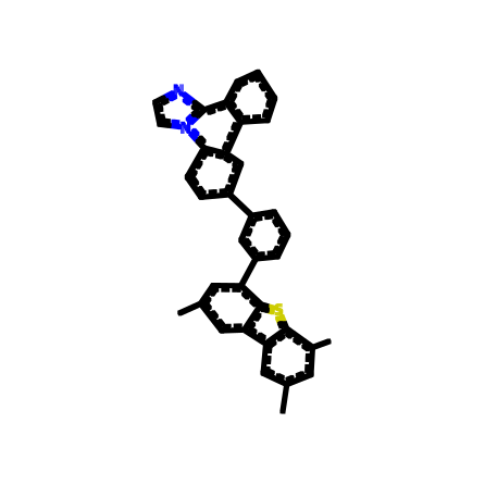 Cc1cc(C)c2sc3c(-c4cccc(-c5ccc6c(c5)c5ccccc5c5nccn65)c4)cc(C)cc3c2c1